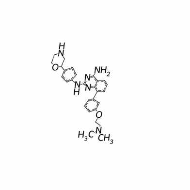 CN(C)CCOc1cccc(-c2cccc3c(N)nc(Nc4ccc(C5CNCCO5)cc4)nc23)c1